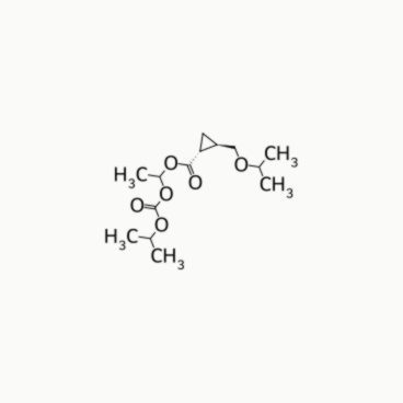 CC(C)OC[C@@H]1C[C@H]1C(=O)OC(C)OC(=O)OC(C)C